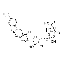 Cc1ccc2c(Cn3c(=O)ccn([C@@H]4O[C@H](COP(=O)(O)OP(=O)(O)OP(=O)(O)O)[C@H](O)[C@@H]4O)c3=O)noc2c1